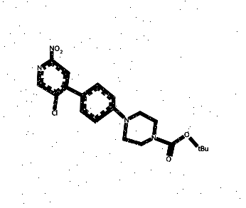 CC(C)(C)OC(=O)N1CCN(c2ccc(-c3cc([N+](=O)[O-])ncc3Cl)cc2)CC1